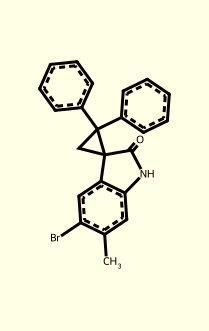 Cc1cc2c(cc1Br)C1(CC1(c1ccccc1)c1ccccc1)C(=O)N2